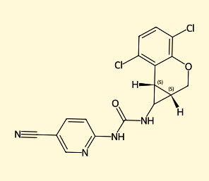 N#Cc1ccc(NC(=O)NC2[C@H]3COc4c(Cl)ccc(Cl)c4[C@@H]23)nc1